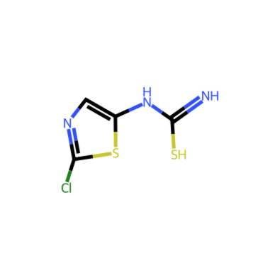 N=C(S)Nc1cnc(Cl)s1